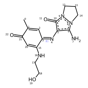 CC1=C/C(=N\c2c(N)n3n(c2=O)CCC3)C(NCCO)=CC1=O